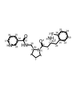 N[C@@H](CC(=O)N1CCC[C@H]1CNC(=O)c1cccnc1)Cc1ccccc1F